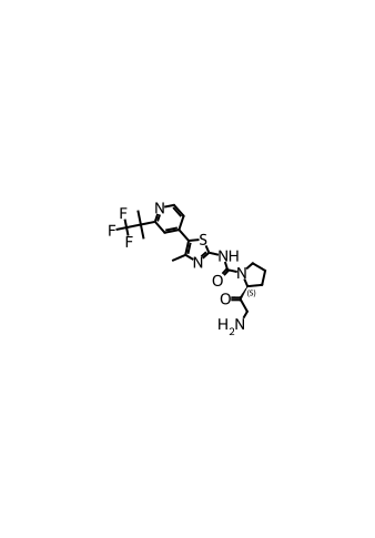 Cc1nc(NC(=O)N2CCC[C@H]2C(=O)CN)sc1-c1ccnc(C(C)(C)C(F)(F)F)c1